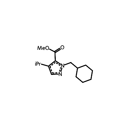 COC(=O)c1c(C(C)C)cnn1CC1CCCCC1